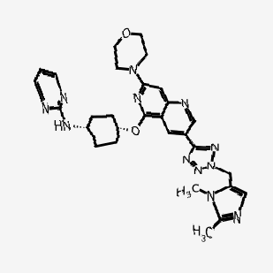 Cc1ncc(Cn2nnc(-c3cnc4cc(N5CCOCC5)nc(O[C@H]5CC[C@@H](Nc6ncccn6)CC5)c4c3)n2)n1C